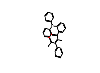 Cc1cc(C)c(-c2ccccc2P(c2ccccc2)c2ccccc2)c(C)c1-c1ccccc1